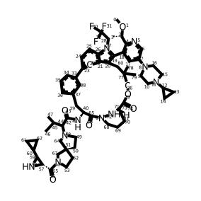 CO[C@@H](C)c1ncc(N2CCN(C3CC3)CC2)cc1-c1c2c3cc(ccc3n1CC(F)(F)F)-c1cccc(c1)C[C@H](NC(=O)C(C(C)C)N1CC[C@]3(CCN(C(=O)[C@@H]4NC4C4CC4)C3)C1)C(=O)N1CCC[C@H](N1)C(=O)OCC(C)(C)C2